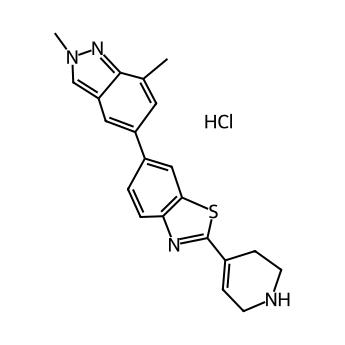 Cc1cc(-c2ccc3nc(C4=CCNCC4)sc3c2)cc2cn(C)nc12.Cl